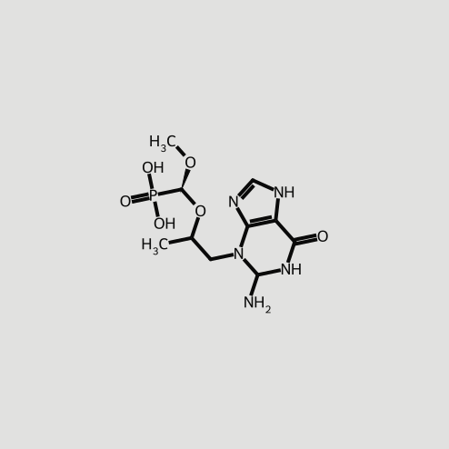 CO[C@@H](OC(C)CN1c2nc[nH]c2C(=O)NC1N)P(=O)(O)O